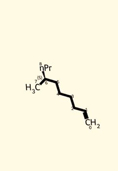 C=CCCCC[C@@H](C)CCC